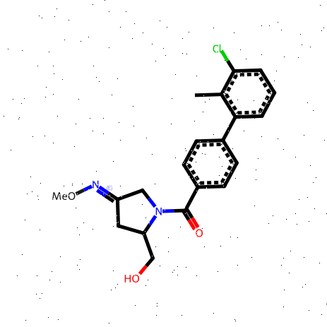 CO/N=C1\CC(CO)N(C(=O)c2ccc(-c3cccc(Cl)c3C)cc2)C1